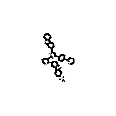 CP(C)(=O)c1ccc2c(c1)oc1ccc(-c3ncccc3-c3nc(-c4ccc(-c5ccccc5)cc4)cc(-c4ccc5c(c4)sc4ccccc45)n3)cc12